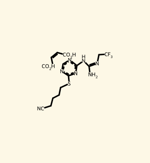 N#CCCCCSc1ncnc(N/C(N)=N\CC(F)(F)F)n1.O=C(O)/C=C\C(=O)O